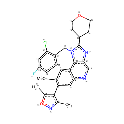 COc1cc2c(cc1-c1c(C)noc1C)ncc1nc(C3CCOCC3)n(Cc3ccc(F)cc3Cl)c12